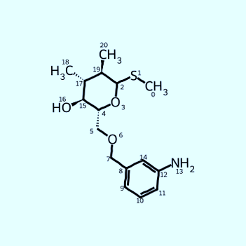 CSC1O[C@H](COCc2cccc(N)c2)[C@@H](O)[C@H](C)[C@H]1C